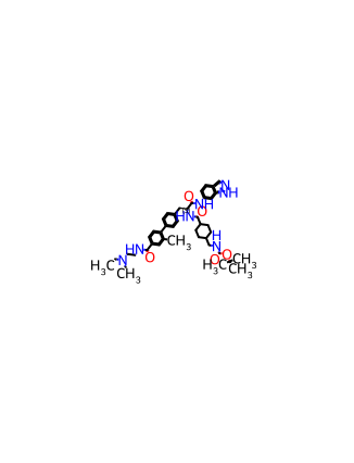 CCN(CC)CCNC(=O)c1ccc(-c2ccc(C[C@H](NC(=O)C3CCC(CNC(=O)OC(C)(C)C)CC3)C(=O)Nc3ccc4cn[nH]c4c3)cc2)c(C)c1